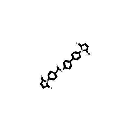 O=C(Oc1ccc(-c2ccc(N3C(=O)C=CC3O)cc2)cc1)c1ccc(N2C(=O)C=CC2=O)cc1